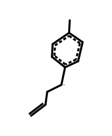 C=CC[CH]c1ccc(C)cc1